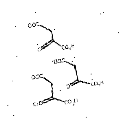 O=C([O-])CC(=O)C(=O)O.O=C([O-])CC(=O)C(=O)O.O=C([O-])CC(=O)C(=O)O.[Cr+3]